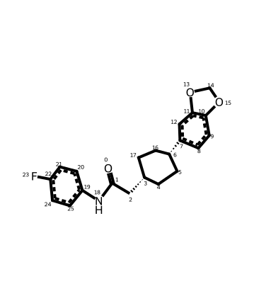 O=C(C[C@H]1CC[C@@H](c2ccc3c(c2)OCO3)CC1)Nc1ccc(F)cc1